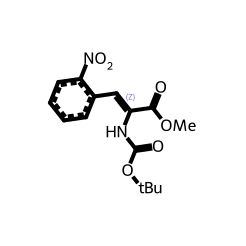 COC(=O)/C(=C/c1ccccc1[N+](=O)[O-])NC(=O)OC(C)(C)C